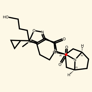 CN(CCCO)C1CCN(S(=O)(=O)N2[C@@H]3CC[C@H]2C[C@@H](NC(=O)c2cc(C4CC4)on2)C3)CC1